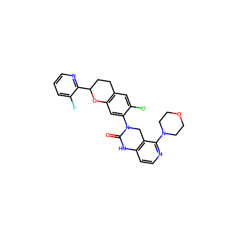 O=C1Nc2ccnc(N3CCOCC3)c2CN1c1cc2c(cc1Cl)CCC(c1ncccc1F)O2